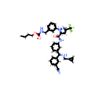 CCCCOC(=O)NCc1cccc(-n2nc(C(F)(F)F)cc2C(=O)Nc2cccc(C(NCC3CC3)c3cccc(C#N)c3)c2)c1